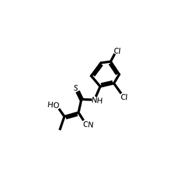 C/C(O)=C(\C#N)C(=S)Nc1ccc(Cl)cc1Cl